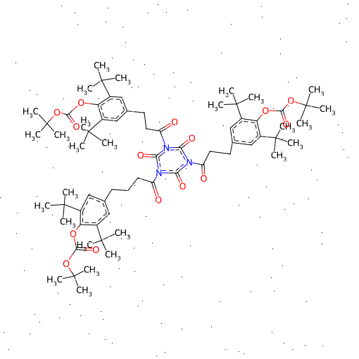 CC(C)(C)OC(=O)Oc1c(C(C)(C)C)cc(CCCC(=O)n2c(=O)n(C(=O)CCc3cc(C(C)(C)C)c(OC(=O)OC(C)(C)C)c(C(C)(C)C)c3)c(=O)n(C(=O)CCc3cc(C(C)(C)C)c(OC(=O)OC(C)(C)C)c(C(C)(C)C)c3)c2=O)cc1C(C)(C)C